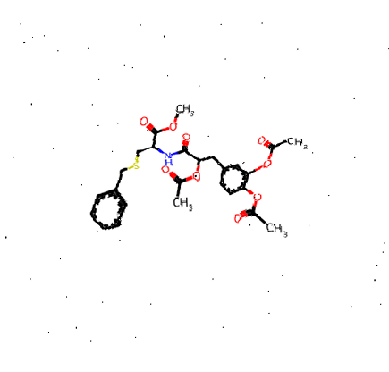 COC(=O)[C@H](CSCc1ccccc1)NC(=O)C(Cc1ccc(OC(C)=O)c(OC(C)=O)c1)OC(C)=O